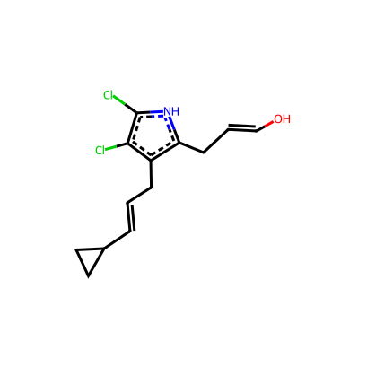 OC=CCc1[nH]c(Cl)c(Cl)c1CC=CC1CC1